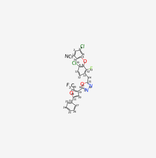 N#Cc1cc(Cl)cc(Oc2c(Cl)ccc(Cc3nnc(-c4cc(-c5ccccc5)oc4C(F)(F)F)o3)c2F)c1